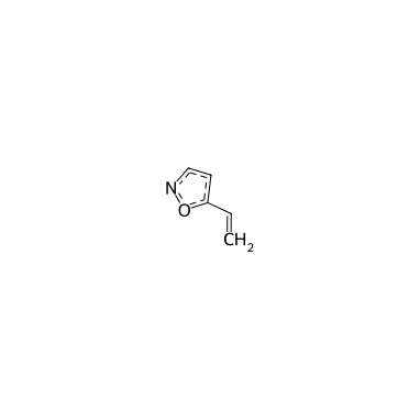 C=Cc1ccno1